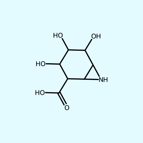 O=C(O)C1C(O)C(O)C(O)C2NC21